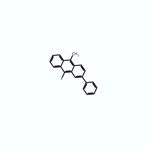 Cc1c2ccccc2c(I)c2cc(-c3ccccc3)ccc12